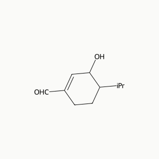 CC(C)C1CCC(C=O)=CC1O